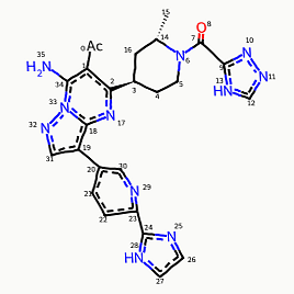 CC(=O)c1c([C@@H]2CCN(C(=O)c3nnc[nH]3)[C@@H](C)C2)nc2c(-c3ccc(-c4ncc[nH]4)nc3)cnn2c1N